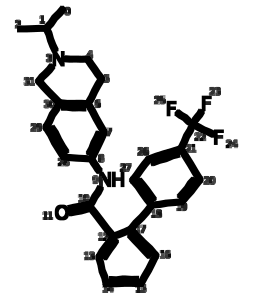 CC(C)N1CCc2cc(NC(=O)c3ccccc3-c3ccc(C(F)(F)F)cc3)ccc2C1